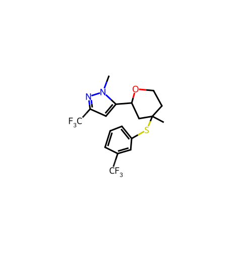 Cn1nc(C(F)(F)F)cc1C1CC(C)(Sc2cccc(C(F)(F)F)c2)CCO1